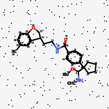 CC(C)(C)OC(NC=O)C1(c2ccc(C(=O)NCCC3COc4ccc(C#N)cc43)cc2)CCCC1